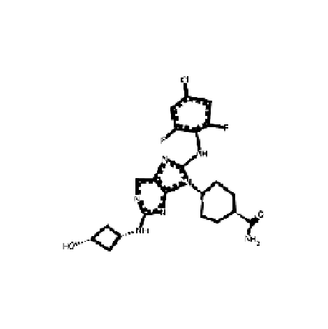 NC(=O)[C@H]1CC[C@@H](n2c(Nc3c(F)cc(Cl)cc3F)nc3cnc(N[C@H]4C[C@@H](O)C4)nc32)CC1